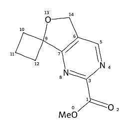 COC(=O)c1ncc2c(n1)C1(CCC1)OC2